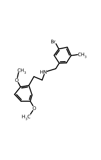 COc1ccc(OC)c(CCNCc2cc(C)cc(Br)c2)c1